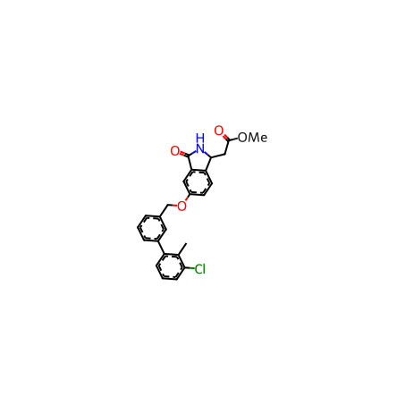 COC(=O)CC1NC(=O)c2cc(OCc3cccc(-c4cccc(Cl)c4C)c3)ccc21